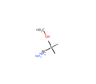 C[Si](C)(C)C#N.N.N.O=C(O)O